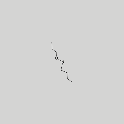 CCCC[N]OCCC